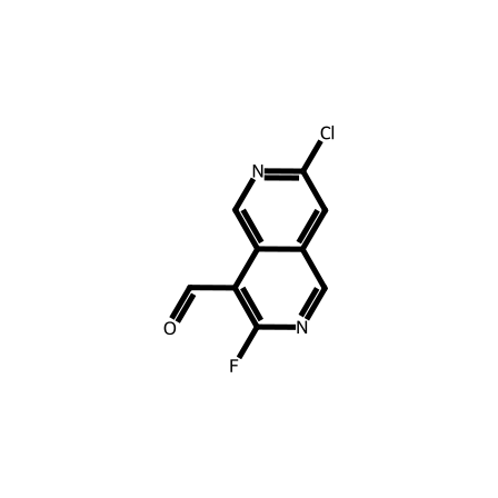 O=Cc1c(F)ncc2cc(Cl)ncc12